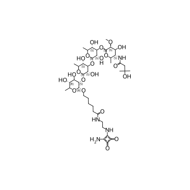 CO[C@H]1C(O)[C@H](NC(=O)CC(C)(C)O)C(C)O[C@H]1OC1[C@@H](O)C(C)O[C@@H](OC2[C@@H](O)C(C)O[C@@H](O[C@H]3C(O)[C@@H](O)C(C)O[C@H]3OCCCCCC(=O)NCCNc3c(N)c(=O)c3=O)[C@H]2O)[C@H]1O